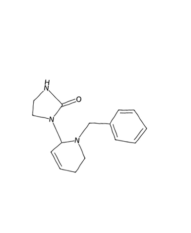 O=C1NCCN1C1C=CCCN1Cc1ccccc1